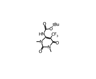 Cn1c(NC(=O)OC(C)(C)C)c(C(F)(F)F)c(=O)n(C)c1=O